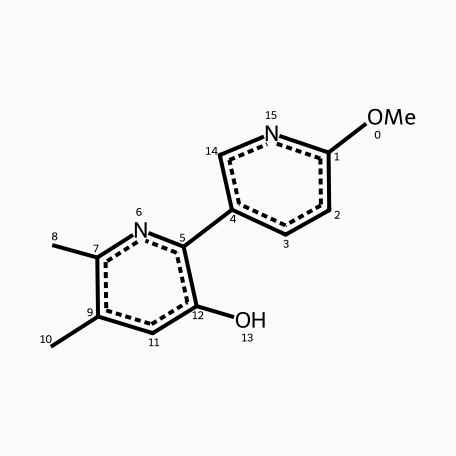 COc1ccc(-c2nc(C)c(C)cc2O)cn1